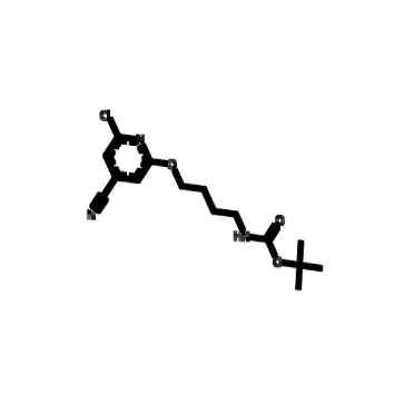 CC(C)(C)OC(=O)NCCCCOc1cc(C#N)cc(Cl)n1